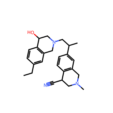 CCc1ccc2c(c1)CN(CC(C)c1ccc3c(c1)CN(C)CC3C#N)CC2O